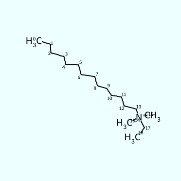 CCCCCCCCCCCCCC[N+](C)(C)CC